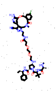 CC[C@@H](NC(=O)[C@@H]1C[C@H](NCCOCCOCCC(=O)NCCn2nc(C#N)c3c2CN(C)C(=O)c2ccc(F)cc2[C@@H](C)Oc2cc-3cnc2N)CN1C(=O)C(NC(=O)[C@H](C)NC)C(C)(C)C)c1ccccc1